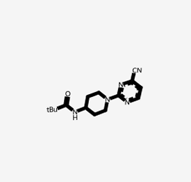 CC(C)(C)C(=O)NC1CCN(c2nccc(C#N)n2)CC1